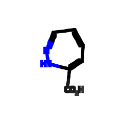 O=C(O)C1=CC=CC=NN1